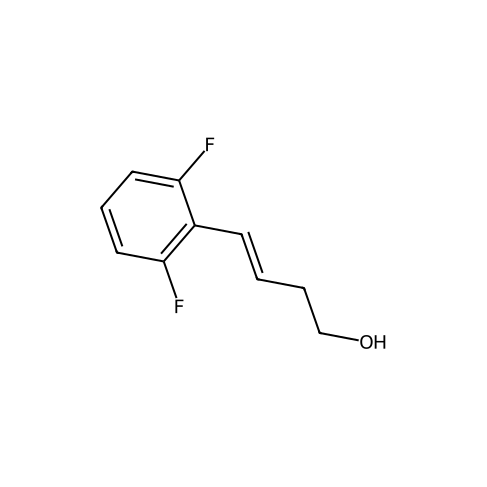 OCCC=Cc1c(F)cccc1F